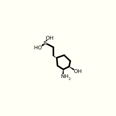 N[C@H]1C[C@H](CCB(O)O)CC[C@H]1O